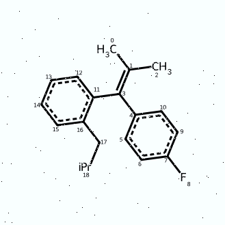 CC(C)=C(c1ccc(F)cc1)c1ccccc1CC(C)C